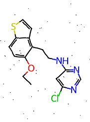 CCOc1ccc2sccc2c1CCNc1cc(Cl)ncn1